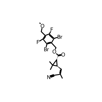 COCc1c(F)c(Br)c(COC(=O)[C@@H]2[C@@H](C=C(C)C#N)C2(C)C)c(Br)c1F